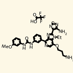 CCn1c(-c2nonc2N)nc2c(-c3cccc(NC(=O)Nc4cccc(OC)c4)c3)ncc(OCCCN)c21.O=C(O)C(F)(F)F